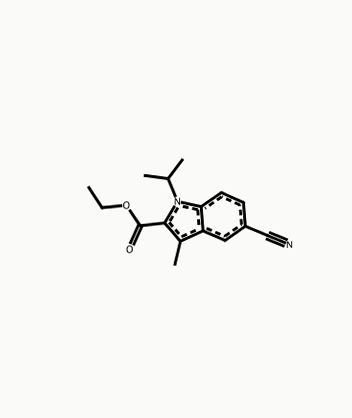 CCOC(=O)c1c(C)c2cc(C#N)ccc2n1C(C)C